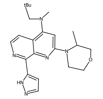 CC1COCCN1c1cc(N(C)CC(C)(C)C)c2ccnc(-c3ccn[nH]3)c2n1